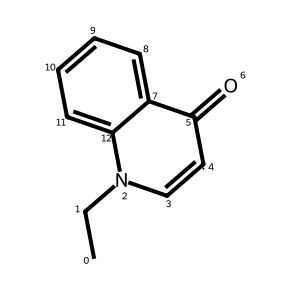 CCn1c[c]c(=O)c2ccccc21